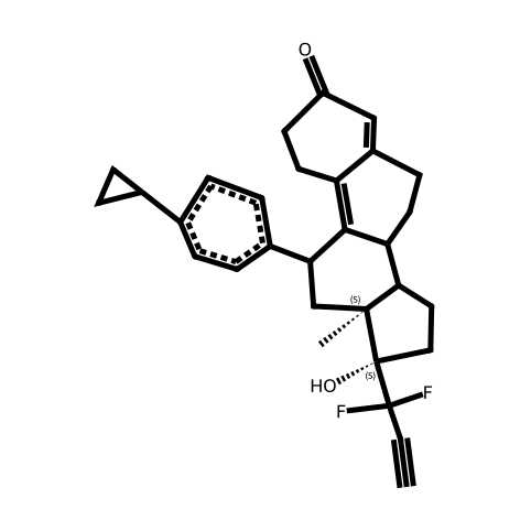 C#CC(F)(F)[C@]1(O)CCC2C3CCC4=CC(=O)CCC4=C3C(c3ccc(C4CC4)cc3)C[C@@]21C